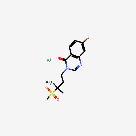 CC(CCn1cnc2cc(Br)ccc2c1=O)(C(=O)O)S(C)(=O)=O.Cl